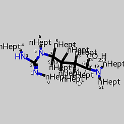 CCCCCCCN=C(NCCCCCCC)N(CCCCCCC)C(CCCCCCC)(CCCCCCC)C(CCCCCCC)(CCCCCCC)C(CCCCCCC)(CCCCCCC)[C@@](CCCCCCC)(C(=O)O)N(CCCCCCC)CCCCCCC